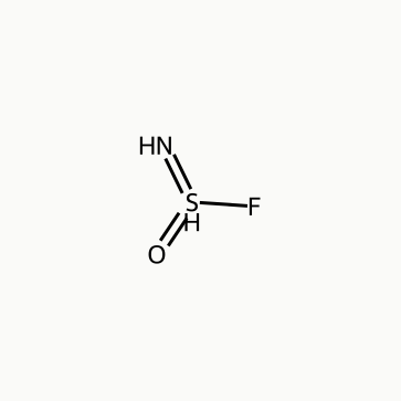 N=[SH](=O)F